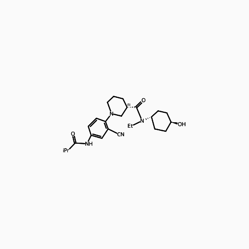 CCN(C(=O)[C@H]1CCCN(c2ccc(NC(=O)C(C)C)cc2C#N)C1)[C@H]1CC[C@H](O)CC1